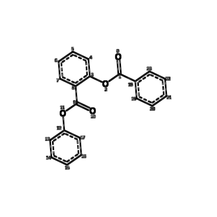 O=C(Oc1ccccc1C(=O)Oc1ccccc1)c1ccccc1